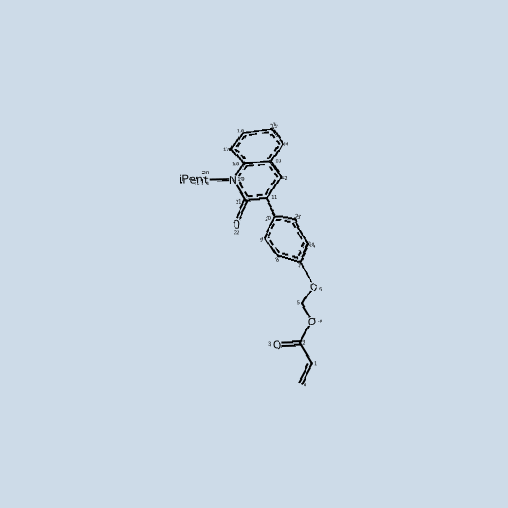 C=CC(=O)OCOc1ccc(-c2cc3ccccc3n(C(C)CCC)c2=O)cc1